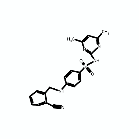 Cc1cc(C)nc(NS(=O)(=O)c2ccc(NCc3ccccc3C#N)cc2)n1